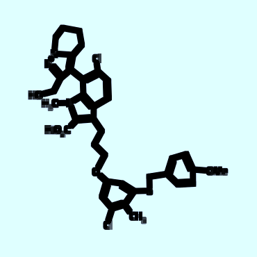 CCOC(=O)c1c(CCCOc2cc(Cl)c(C)c(SCc3ccc(OC)cc3)c2)c2ccc(Cl)c(-c3c(CO)nn4c3CCCC4)c2n1C